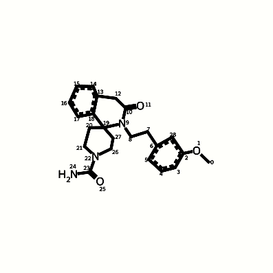 COc1cccc(CCN2C(=O)Cc3ccccc3C23CCN(C(N)=O)CC3)c1